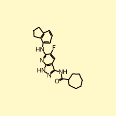 O=C(Nc1n[nH]c2nc(Nc3cccc4c3CCC4)c(F)cc12)C1CCCCCC1